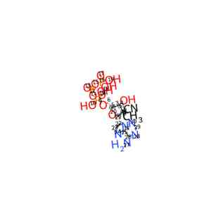 C[C@@]1(C#N)[C@H](O)[C@@H](COP(=O)(O)OP(=O)(O)OP(=O)(O)O)O[C@H]1c1cnc2c(N)ncnn12